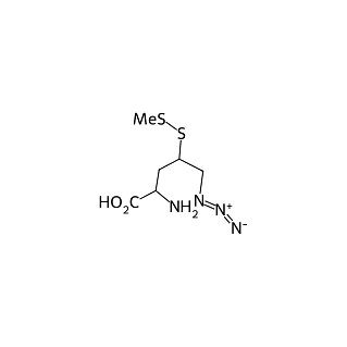 CSSC(CN=[N+]=[N-])CC(N)C(=O)O